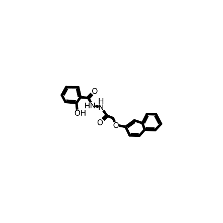 O=C(COc1ccc2ccccc2c1)NNC(=O)c1ccccc1O